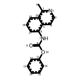 Cc1nccc2c(NC(=O)Oc3ccccc3)cccc12